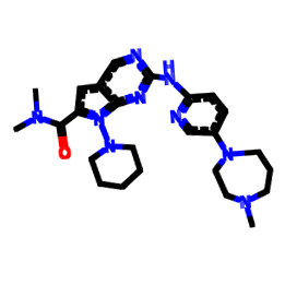 CN1CCCN(c2ccc(Nc3ncc4cc(C(=O)N(C)C)n(N5CCCCC5)c4n3)nc2)CC1